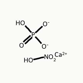 O=P([O-])([O-])O.O=[N+]([O-])O.[Ca+2]